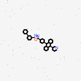 c1ccc(-c2cccc(-c3nnc(-c4ccc(-c5c6ccccc6c(-c6cccnc6)c6ccccc56)cc4)o3)c2)cc1